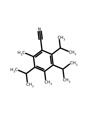 Cc1c(C#N)c(C(C)C)c(C(C)C)c(C)c1C(C)C